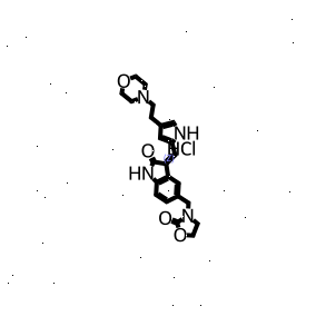 Cl.O=C1Nc2ccc(CN3CCOC3=O)cc2/C1=C/c1cc(CCN2CCOCC2)c[nH]1